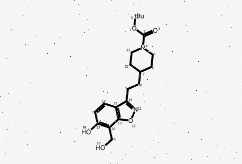 CC(C)(C)OC(=O)N1CCC(CCc2noc3c(CO)c(O)ccc23)CC1